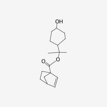 CC(C)(OC(=O)C12C=CC(CC1)C2)C1CCC(O)CC1